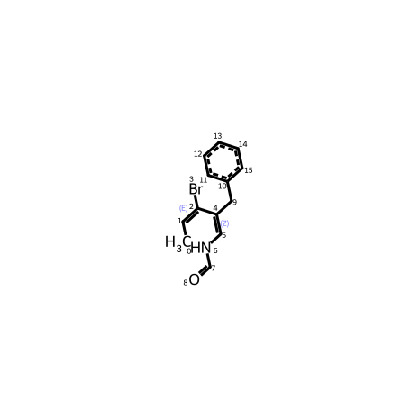 C/C=C(Br)\C(=C/NC=O)Cc1ccccc1